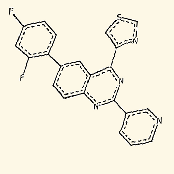 Fc1ccc(-c2ccc3nc(-c4cccnc4)nc(-c4cscn4)c3c2)c(F)c1